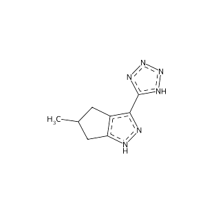 CC1Cc2[nH]nc(-c3nnn[nH]3)c2C1